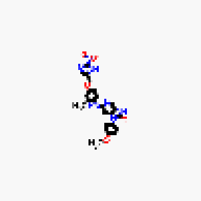 COc1ccc(-n2c(=O)[nH]c3cnc(Nc4ccc(OCc5cnc([N+](=O)[O-])[nH]5)cc4C)cc32)cc1